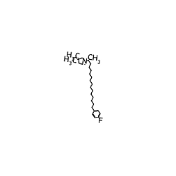 CC(CCCCCCCCCCCCCCc1ccc(F)cc1)N1[CH]CC(C)(C)C1